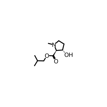 CC(C)COC(=O)[C@@H]1[C@@H](O)CCN1C